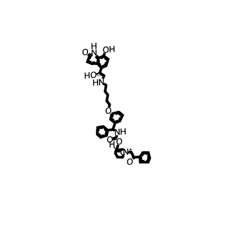 O=C(NC(c1ccccc1)c1cccc(OCCCCCNC[C@@H](O)c2ccc(O)c3[nH]c(=O)ccc23)c1)O[C@H]1C[N+]2(CC(=O)c3ccccc3)CCC1CC2